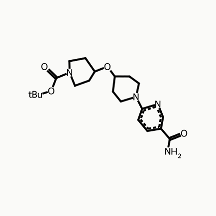 CC(C)(C)OC(=O)N1CCC(OC2CCN(c3ccc(C(N)=O)cn3)CC2)CC1